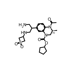 CC(=O)N1c2ccc(C(CN)CNC3CS(=O)(=O)C3)cc2N(C(=O)OC2CCCC2)C[C@@H]1C